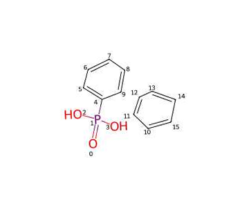 O=P(O)(O)c1ccccc1.c1ccccc1